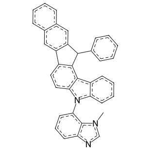 Cn1cnc2cccc(-n3c4ccccc4c4c5c(ccc43)-c3cc4ccccc4cc3C5c3ccccc3)c21